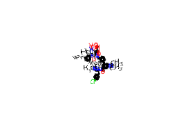 COc1c(CN2O[C@@H](CO)[C@@H]([C@H](C)O)[C@H]2C(=O)N[C@H]2CCC[C@H](C(C)C)[C@@H]2C)cccc1-c1cc(C(=O)N[C@@H](Cc2ccc(Cl)cc2)CN(C)C)cc(N(C)C)c1